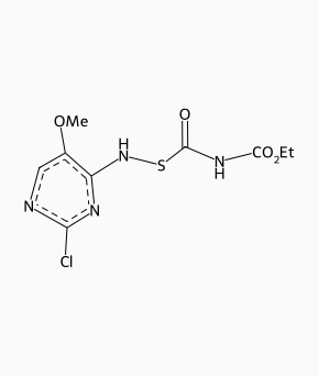 CCOC(=O)NC(=O)SNc1nc(Cl)ncc1OC